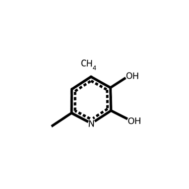 C.Cc1ccc(O)c(O)n1